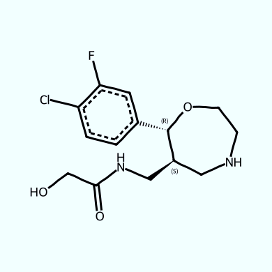 O=C(CO)NC[C@@H]1CNCCO[C@H]1c1ccc(Cl)c(F)c1